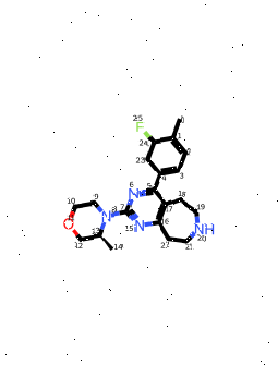 CC1=CC=C(c2nc(N3CCOC[C@@H]3C)nc3c2CCNCC3)CC1F